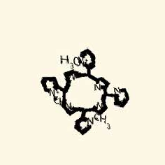 C[n+]1ccccc1C1=C2C=CC(=N2)C(c2ccccn2)=C2C=CC(=N2)C(c2cccc[n+]2C)=C2C=CC(=N2)C(c2cccc[n+]2C)=C2C=CC1=N2